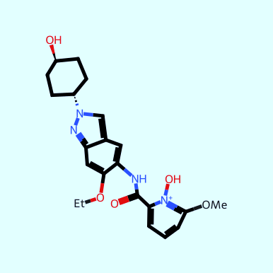 CCOc1cc2nn([C@H]3CC[C@H](O)CC3)cc2cc1NC(=O)c1cccc(OC)[n+]1O